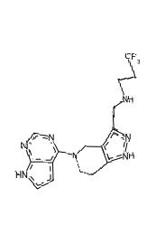 FC(F)(F)CCNCc1n[nH]c2c1CN(c1ncnc3[nH]ccc13)CC2